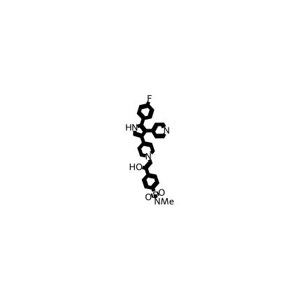 CNS(=O)(=O)c1ccc(C(O)=CN2CC=C(c3c[nH]c(-c4ccc(F)cc4)c3-c3ccncc3)CC2)cc1